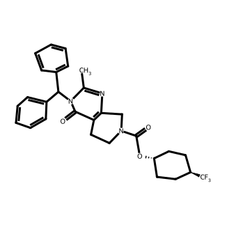 Cc1nc2c(c(=O)n1C(c1ccccc1)c1ccccc1)CCN(C(=O)O[C@H]1CC[C@H](C(F)(F)F)CC1)C2